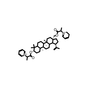 C=C(C)[C@@H]1CC[C@]2(COC(=O)C(C)[N+]3=CC=CCC3)CC[C@]3(C)C(CCC4[C@@]5(C)CC[C@H](OC(=O)C(C)[n+]6ccccc6)C(C)(C)C5CC[C@]43C)C12